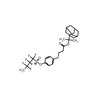 CC(F)(F)C(F)(F)C(F)(F)S(=O)(=O)Oc1ccc(SCCC(=O)OC(C)(C)C23CC4CC(CC(C4)C2)C3)cc1